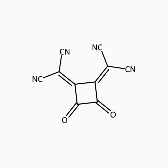 N#CC(C#N)=c1c(=O)c(=O)c1=C(C#N)C#N